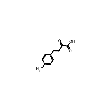 Cc1ccc(C=CC(=O)C(=O)O)cc1